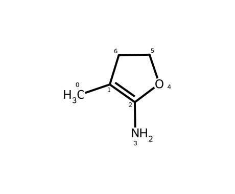 CC1=C(N)OCC1